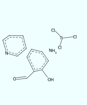 N.O=Cc1ccccc1O.[Cl][Ti]([Cl])[Cl].c1ccncc1